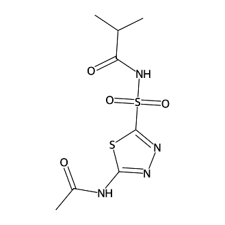 CC(=O)Nc1nnc(S(=O)(=O)NC(=O)C(C)C)s1